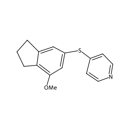 COc1cc(Sc2ccncc2)cc2c1CCC2